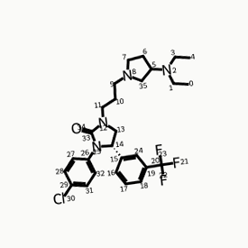 CCN(CC)C1CCN(CCCN2C[C@H](c3cccc(C(F)(F)F)c3)N(c3ccc(Cl)cc3)C2=O)C1